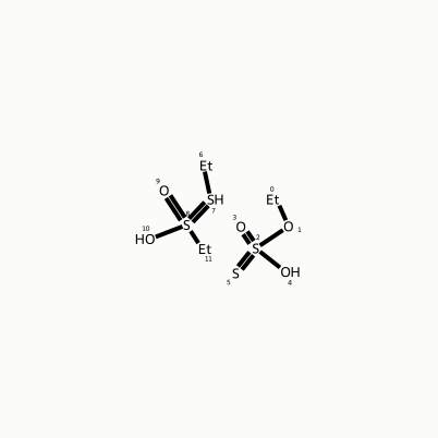 CCOS(=O)(O)=S.CC[SH]=S(=O)(O)CC